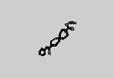 CC(C)(C)OC(=O)N1C[CH]C2(CCC(NCc3ccccc3)CC2)CC1